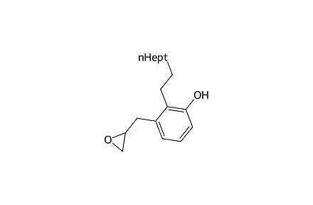 CCCCCCCCCc1c(O)cccc1CC1CO1